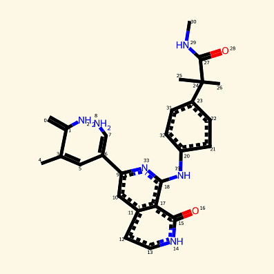 C=C(N)/C(C)=C\C(=C/N)c1cc2cc[nH]c(=O)c2c(Nc2ccc(C(C)(C)C(=O)NC)cc2)n1